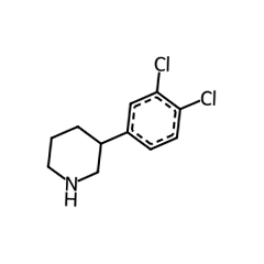 Clc1ccc(C2CCCNC2)cc1Cl